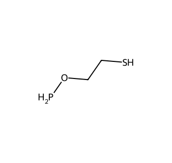 POCCS